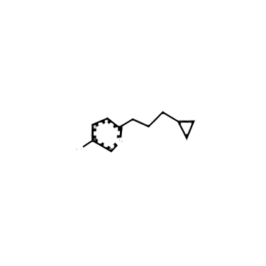 Oc1ccc(CCCC2CC2)nc1